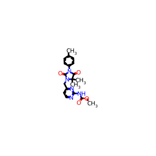 COC(=O)Nc1nccc(CN2C(=O)N(c3ccc(C)cc3)C(=O)C2(C)C)n1